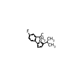 CC(C)c1ccc2n1C(C)c1cc(F)ccc1-2